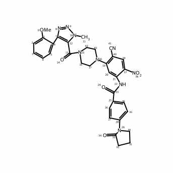 COc1ccccc1-c1nnn(C)c1C(=O)N1CCN(c2cc(NC(=O)c3ccc(N4CCCC4=O)cc3)c([N+](=O)[O-])cc2C#N)CC1